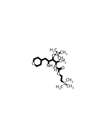 CC(NC(=O)OCC[Si](C)(C)C)C(O[Si](C)(C)C)C(N)CC1CCOCC1